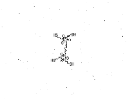 O=c1n(CCCS)c(=O)n(CCCSCCCn2c(=O)n(CCCS)c(=O)n(CCCS)c2=O)c(=O)n1CCCS